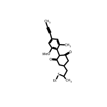 CC#Cc1cc(C)c(C2C(=O)CC(CC(C)SCC)CC2=O)c(OC)c1